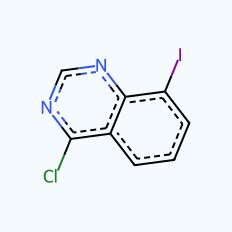 Clc1ncnc2c(I)cccc12